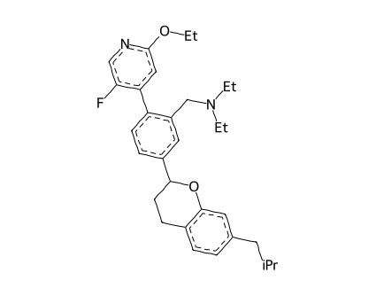 CCOc1cc(-c2ccc(C3CCc4ccc(CC(C)C)cc4O3)cc2CN(CC)CC)c(F)cn1